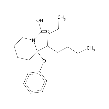 CCCCC(CCC)C1(Oc2ccccc2)CCCCN1C(=O)O